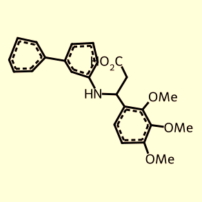 COc1ccc(C(CC(=O)O)Nc2cccc(-c3ccccc3)c2)c(OC)c1OC